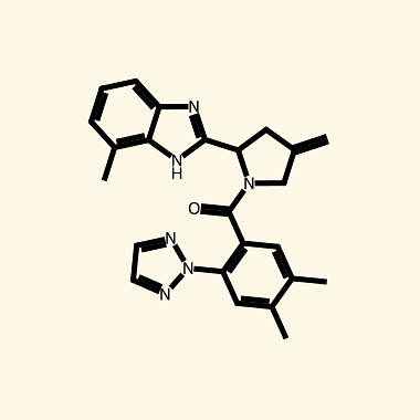 C=C1CC(c2nc3cccc(C)c3[nH]2)N(C(=O)c2cc(C)c(C)cc2-n2nccn2)C1